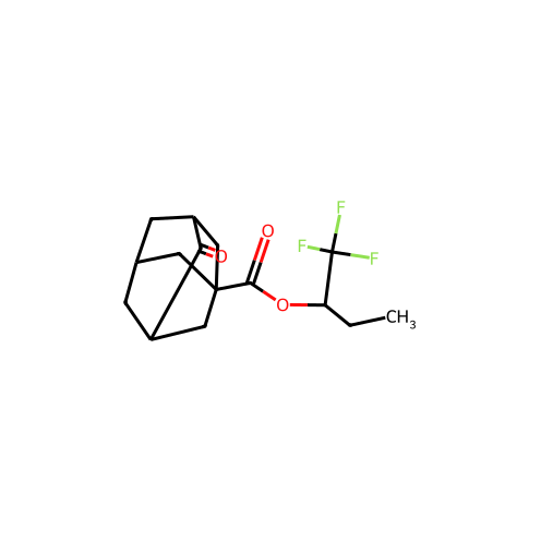 CCC(OC(=O)C12CC3CC(C1)C(=O)C(C3)C2)C(F)(F)F